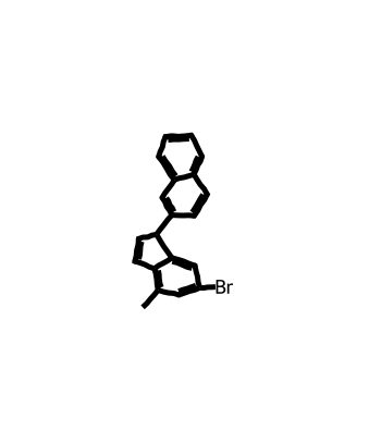 Cc1cc(Br)cc2c1C=CC2c1ccc2ccccc2c1